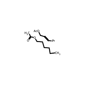 CCC/C=C/COC(C)=O.CCCCCCOC(C)=O